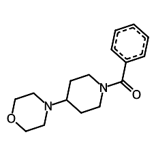 O=C(c1ccccc1)N1CCC(N2CCOCC2)CC1